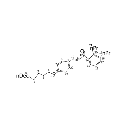 CCCCCCCCCCCCCCSc1ccc(C=CC(=O)c2cccc(CCC)c2CCC)cc1